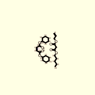 C=CCOC(=O)CC(=O)OCCCCC.O=C(/C=C\C(=O)OC1CCCCC1)OC1CCCCC1